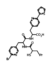 CC(C)CC(S)C(=O)NC(Cc1ccc(Br)nc1)C(=O)NC(Cc1ccc(-c2cccs2)nc1)C(=O)O